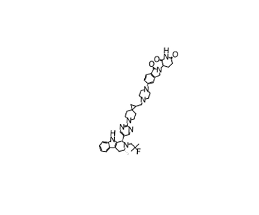 C[C@@H]1Cc2c([nH]c3ccccc23)[C@@H](c2cnc(N3CCC4(CC3)CC4CN3CCN(c4ccc5c(c4)CN(C4CCC(=O)NC4=O)C5=O)CC3)nc2)N1CC(C)(C)F